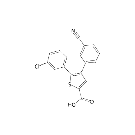 N#Cc1cccc(-c2cc(C(=O)O)sc2-c2cccc(Cl)c2)c1